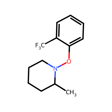 CC1CCCCN1Oc1ccccc1C(F)(F)F